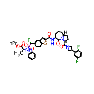 CCCOC(=O)[C@H](C)NP(=O)(Oc1ccccc1)C(F)c1ccc2sc(C(=O)N[C@H]3CCC[C@H]4CC[C@@H](C(=O)N5CC(c6cc(F)ccc6F)C5)N4C3=O)cc2c1